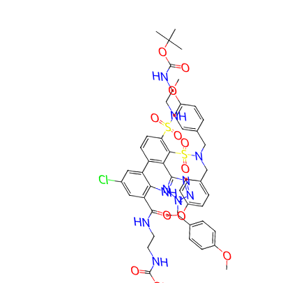 COc1ccc(CN(Cc2ccc(OC)cc2)S(=O)(=O)c2c(S(=O)(=O)NCCNC(=O)OC(C)(C)C)ccc(-c3cc(Cl)cc(C(=O)NCCNC(=O)O)c3N)c2-c2nnn(Cc3ccc(OC)cc3)n2)cc1